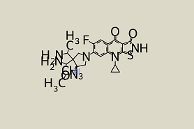 CO/N=C1/CN(c2cc3c(cc2F)c(=O)c2c(=O)[nH]sc2n3C2CC2)CC1(C(C)N)C(C)N